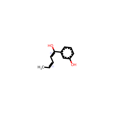 C/C=C\C=C(\O)c1cccc(O)c1